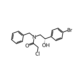 O=C(CCl)N(Cc1ccccc1)C[C@@H](O)c1ccc(Br)cc1